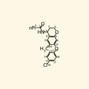 CCCC(=O)NC1CCOc2cc(Oc3ccc(Cl)cc3)c(C)cc21